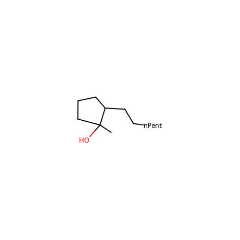 CCCCCCCC1CCCC1(C)O